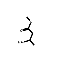 COC(=O)CC(C)[SeH]